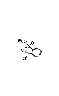 CC(C)COS(=O)(=O)c1ccccc1P(Cl)Cl